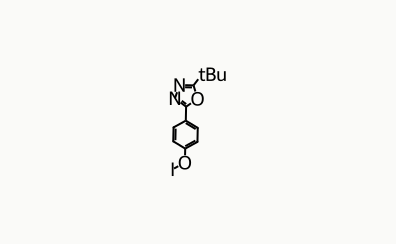 CC(C)(C)c1nnc(-c2ccc(OI)cc2)o1